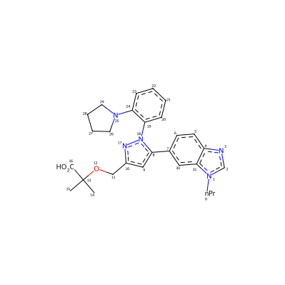 CCCn1cnc2ccc(-c3cc(COC(C)(C)C(=O)O)nn3-c3ccccc3N3CCCC3)cc21